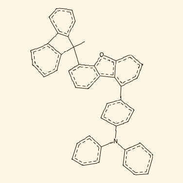 CC1(c2cccc3c2oc2cccc(-c4ccc(N(c5ccccc5)c5ccccc5)cc4)c23)c2ccccc2-c2ccccc21